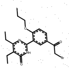 CCCOc1ccc(C(=O)CBr)cc1-c1nc(CC)c(CC)c(=O)[nH]1